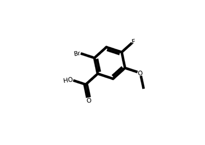 COc1cc(C(=O)O)c(Br)cc1F